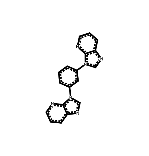 c1cc(-n2cnc3cccnc32)cc(-n2cnc3cccnc32)c1